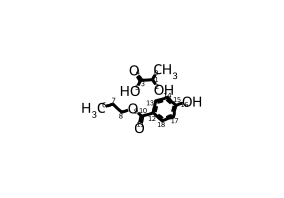 CC(O)C(=O)O.CCCOC(=O)c1ccc(O)cc1